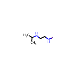 CC(C)NCCNI